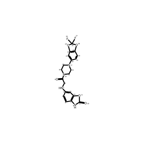 O=C(CNc1ccc2[nH]c(=O)oc2c1)N1CCN(c2ccc3c(c2)OC(F)(F)O3)CC1